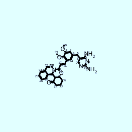 COc1cc(Cc2cnc(N)nc2N)cc(C=CC(=O)N2N=Cc3ccccc3C2C2CCCCC2=O)c1OC